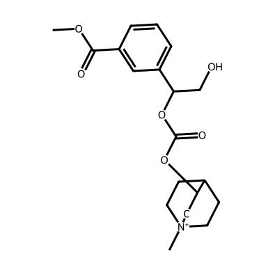 COC(=O)c1cccc(C(CO)OC(=O)OC2C[N+]3(C)CCC2CC3)c1